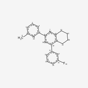 Cc1cccc(-c2nc3c(c(-c4cccc(F)c4)n2)CCCC3)n1